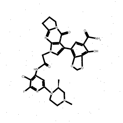 C[C@H]1CN(C)CCN1c1cc(NC(=O)Cn2cc(-c3cc(C(N)=O)c(O)c4c3OCO4)c3c(=O)n4c(nc32)CCC4)c(Cl)c(F)n1